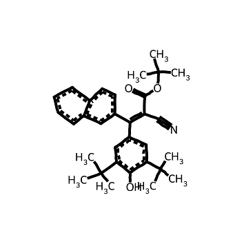 CC(C)(C)OC(=O)C(C#N)=C(c1cc(C(C)(C)C)c(O)c(C(C)(C)C)c1)c1ccc2ccccc2c1